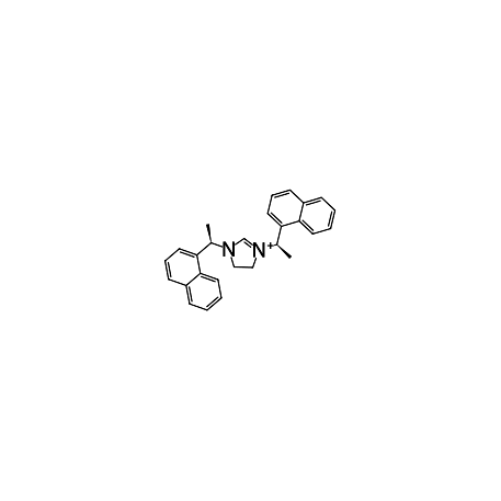 C[C@H](c1cccc2ccccc12)N1C=[N+]([C@H](C)c2cccc3ccccc23)CC1